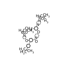 CC(C)(C)OC(=O)N1CCN(c2cc(F)cc(OC3CCN(C(=O)c4ccc(O[C@H]5CCN(C(=O)OC(C)(C)C)C5)c(-c5ccc(C(C)(C)C)cc5)c4)CC3)c2)CC1